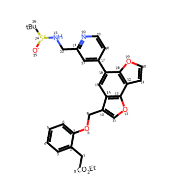 CCOC(=O)Cc1ccccc1OCc1coc2c1cc(-c1ccnc(CN[S+]([O-])C(C)(C)C)c1)c1occc12